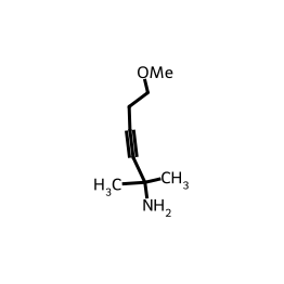 COCCC#CC(C)(C)N